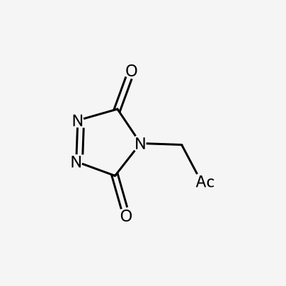 CC(=O)CN1C(=O)N=NC1=O